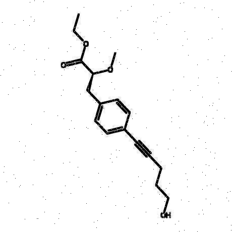 CCOC(=O)[C@H](Cc1ccc(C#CCCCO)cc1)OC